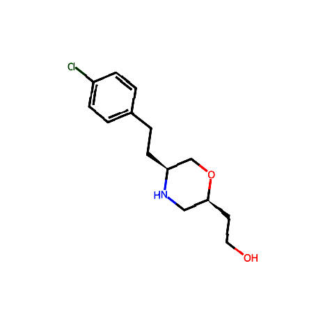 OCC[C@H]1CN[C@@H](CCc2ccc(Cl)cc2)CO1